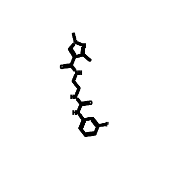 Cc1nn(C)cc1C(=O)NCCNC(=O)Nc1cccc(F)c1